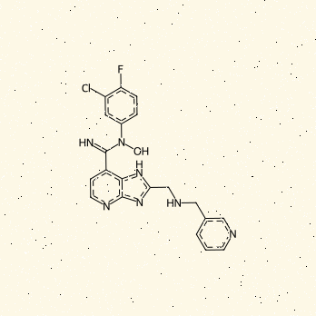 N=C(c1ccnc2nc(CNCc3cccnc3)[nH]c12)N(O)c1ccc(F)c(Cl)c1